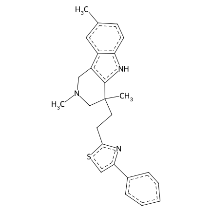 Cc1ccc2[nH]c3c(c2c1)CN(C)CC3(C)CCc1nc(-c2ccccc2)cs1